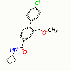 COCc1cc(C(=O)NC2CCC2)ccc1-c1ccc(Cl)cc1